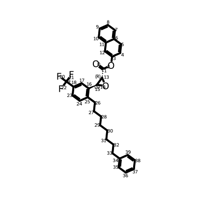 O=C(Oc1ccc2ccccc2c1)[C@@H]1O[C@H]1c1cc(C(F)(F)F)ccc1CCCCCCCCc1ccccc1